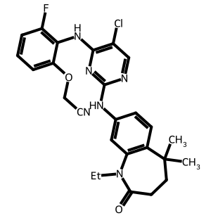 CCN1C(=O)CCC(C)(C)c2ccc(Nc3ncc(Cl)c(Nc4c(F)cccc4OCC#N)n3)cc21